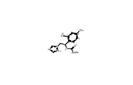 CNC(=O)OC(Cn1cncn1)c1ccc(Cl)cc1Cl